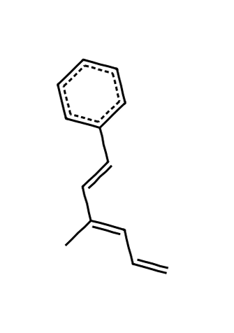 C=CC=C(C)C=Cc1ccccc1